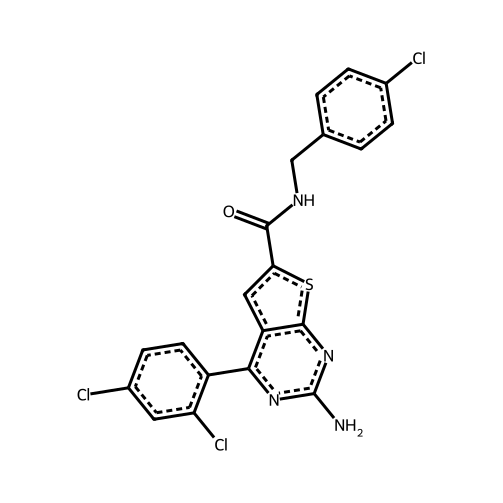 Nc1nc(-c2ccc(Cl)cc2Cl)c2cc(C(=O)NCc3ccc(Cl)cc3)sc2n1